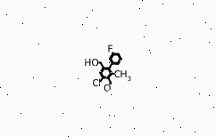 Cc1c(C=O)c(Cl)cc(CO)c1-c1cccc(F)c1